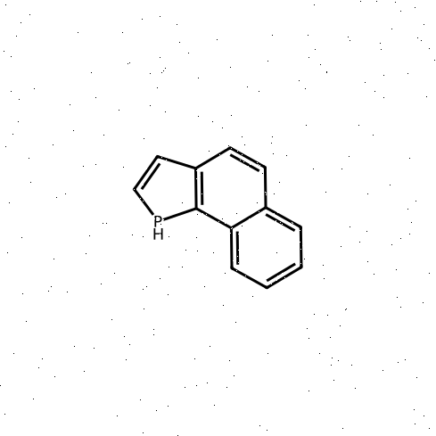 c1ccc2c(c1)ccc1cc[pH]c12